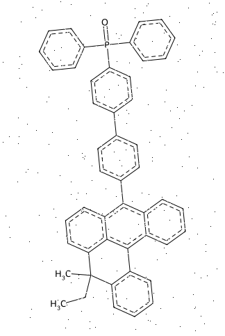 CCC1(C)c2ccccc2-c2c3ccccc3c(-c3ccc(-c4ccc(P(=O)(c5ccccc5)c5ccccc5)cc4)cc3)c3cccc1c23